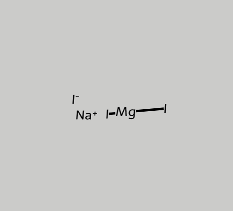 [I-].[I][Mg][I].[Na+]